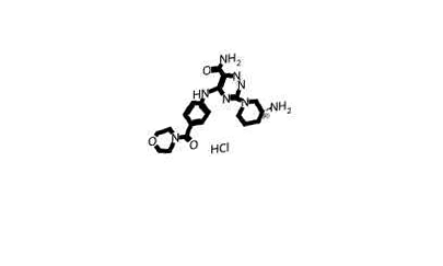 Cl.NC(=O)c1nnc(N2CCC[C@@H](N)C2)nc1Nc1ccc(C(=O)N2CCOCC2)cc1